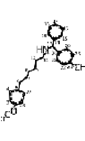 COc1ccc(CCCCCCNC(c2ccccc2)c2ccc(C)cc2)cc1